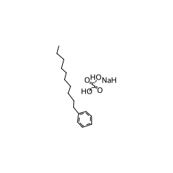 CCCCCCCCCCc1ccccc1.O=S(=O)(O)O.[NaH]